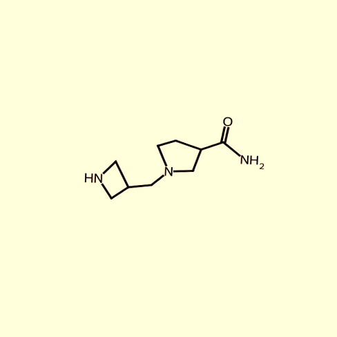 NC(=O)C1CCN(CC2CNC2)C1